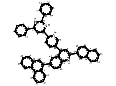 c1ccc(-c2cc(-c3ccc(-c4cc(-c5ccc6ccccc6c5)nc5ccc(-c6cc7ccccc7c7ccccc67)cc45)cn3)nc(-c3ccccc3)n2)cc1